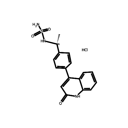 C[C@@H](NS(N)(=O)=O)c1ccc(-c2cc(=O)[nH]c3ccccc23)cc1.Cl